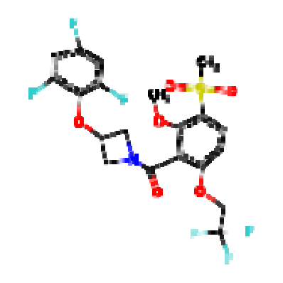 COc1c(S(C)(=O)=O)ccc(OCC(F)(F)F)c1C(=O)N1CC(Oc2c(F)cc(F)cc2F)C1